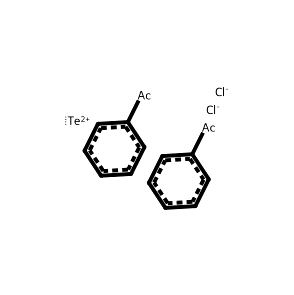 CC(=O)c1ccccc1.CC(=O)c1ccccc1.[Cl-].[Cl-].[Te+2]